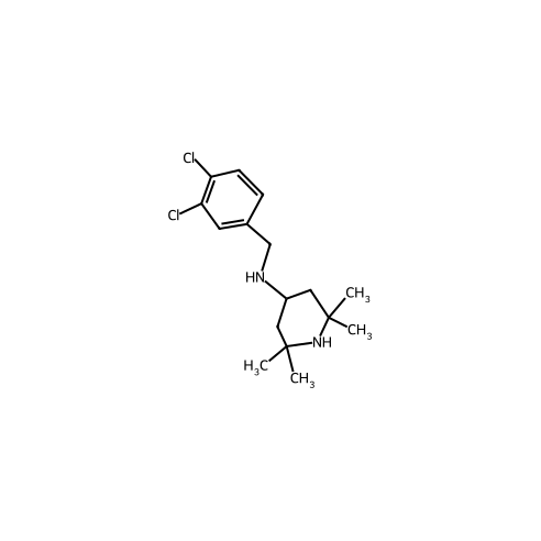 CC1(C)CC(NCc2ccc(Cl)c(Cl)c2)CC(C)(C)N1